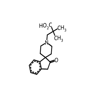 CC(C)(CN1CCC2(CC1)C(=O)Cc1ccccc12)C(=O)O